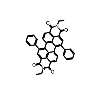 CCN1C(=O)c2ccc3c4c(-c5ccccc5)cc5c6c(ccc(c7c(-c8ccccc8)cc(c2c37)C1=O)c64)C(=O)N(CC)C5=O